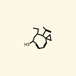 C=C(C)C1C(CC)CC(S)/C=C/C=C\C12CC2